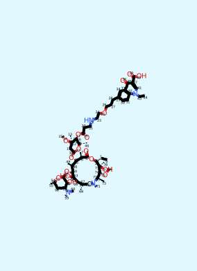 CC[C@H]1OC(=O)[C@H](C)[C@@H](OC2C[C@@](C)(OC)[C@@H](OC(=O)CCNCCOCCCc3ccc4c(c3)c(=O)c(C(=O)O)cn4CC)[C@H](C)O2)[C@H](C)[C@@H](OC2O[C@H](C)C[C@H](N(C)C)[C@H]2O)[C@](C)(O)C[C@@H](C)CN(C)[C@H](C)[C@@H](OC)[C@]1(C)O